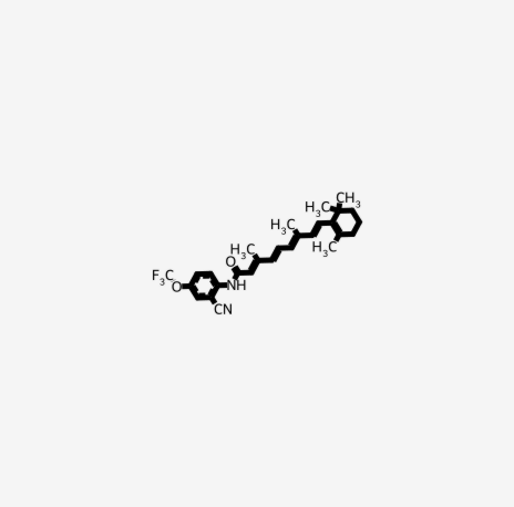 CC1=C(/C=C/C(C)=C/C=C/C(C)=C/C(=O)Nc2ccc(OC(F)(F)F)cc2C#N)C(C)(C)CCC1